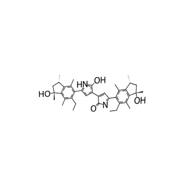 CCc1c(C)c2c(c(C)c1C1=NC(=O)C(c3cc(-c4c(C)c5c(c(C)c4CC)[C@](C)(O)C[C@@H]5C)[nH]c3O)=C1)[C@H](C)C[C@]2(C)O